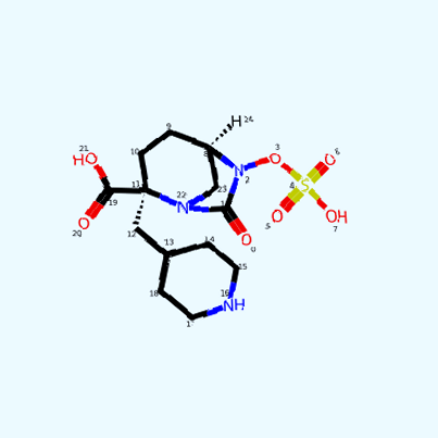 O=C1N(OS(=O)(=O)O)[C@@H]2CC[C@](CC3CCNCC3)(C(=O)O)N1C2